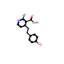 COC(=O)c1c(CCc2ccc(O)cc2)ccnc1Br